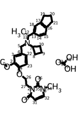 COc1cc(CN(C2CCC2)[C@H](C)c2ccc3c(c2)CCC3)ccc1OCCn1c(=O)ccn(C)c1=O.O=C(O)O